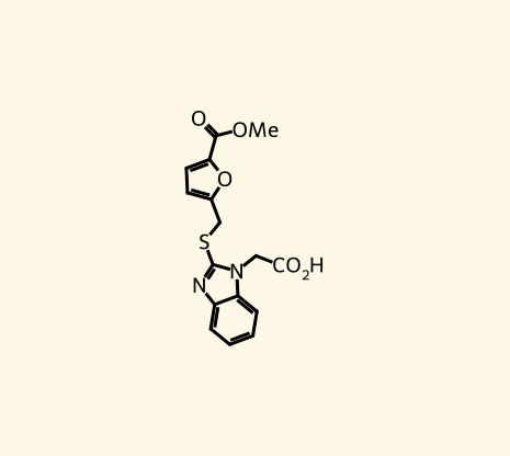 COC(=O)c1ccc(CSc2nc3ccccc3n2CC(=O)O)o1